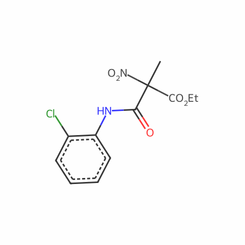 CCOC(=O)C(C)(C(=O)Nc1ccccc1Cl)[N+](=O)[O-]